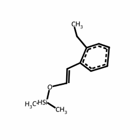 CCc1ccccc1C=CO[SiH](C)C